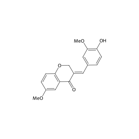 COc1ccc2c(c1)C(=O)C(=Cc1ccc(O)c(OC)c1)CO2